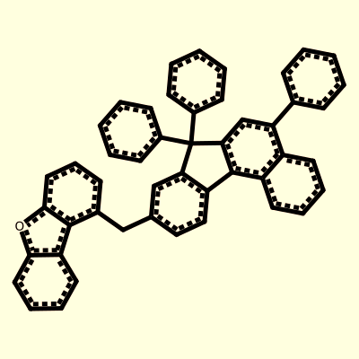 c1ccc(-c2cc3c(c4ccccc24)-c2ccc(Cc4cccc5oc6ccccc6c45)cc2C3(c2ccccc2)c2ccccc2)cc1